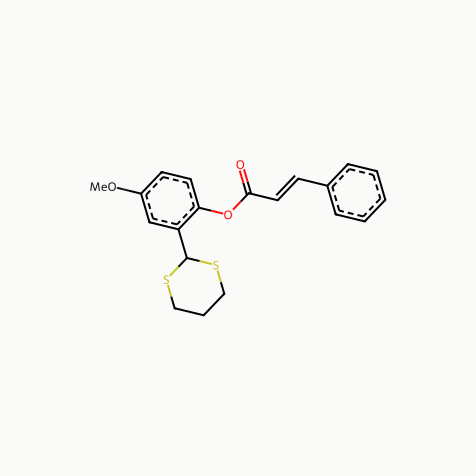 COc1ccc(OC(=O)C=Cc2ccccc2)c(C2SCCCS2)c1